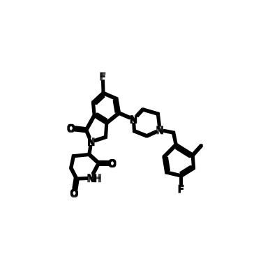 Cc1cc(F)ccc1CN1CCN(c2cc(F)cc3c2CN(C2CCC(=O)NC2=O)C3=O)CC1